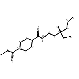 CCC(=O)N1CCC(C(=O)NCCC(C)(CC)COC)CC1